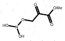 COC(=O)C(=O)CON(O)O